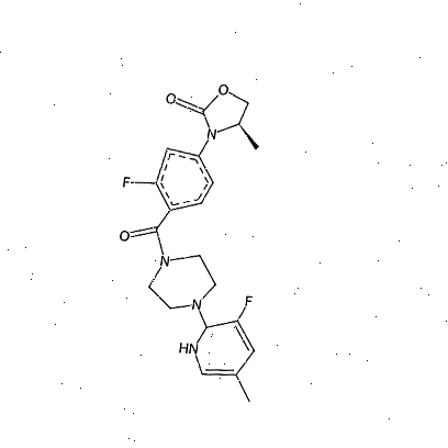 CC1=CNC(N2CCN(C(=O)c3ccc(N4C(=O)OC[C@H]4C)cc3F)CC2)C(F)=C1